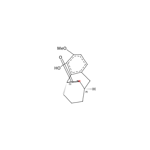 COc1ccc2c(c1O)[C@]13CCC[C@H](C2)C1CCC(=O)C3